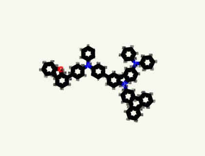 c1ccc(N(c2ccc(-c3ccc4c(c3)c3cc(N(c5ccccc5)c5ccccc5)ccc3n4-c3ccc4c5ccccc5c5ccccc5c4c3)cc2)c2ccc(-c3cccc4c3oc3ccccc34)cc2)cc1